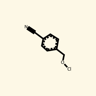 N#Cc1ccc(COCl)cc1